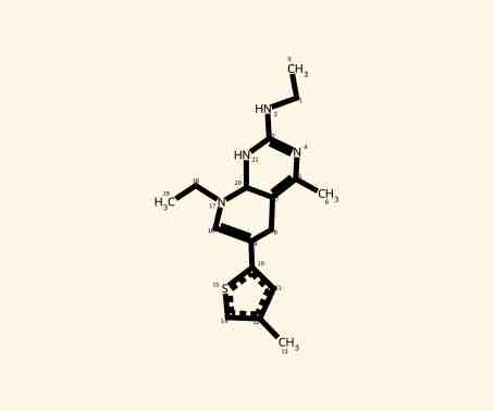 CCNC1=NC(C)=C2CC(c3cc(C)cs3)=CN(CC)C2N1